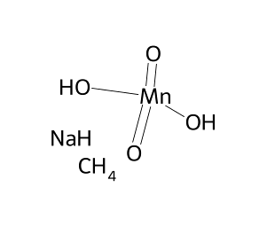 C.[NaH].[O]=[Mn](=[O])([OH])[OH]